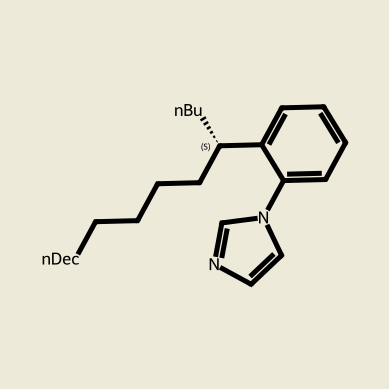 CCCCCCCCCCCCCC[C@H](CCCC)c1ccccc1-n1ccnc1